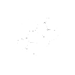 CCCCN(C(=O)c1cccc(C)c1)N(C#N)C(=O)c1cccc(OC)c1C